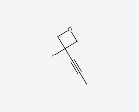 CC#CC1(F)COC1